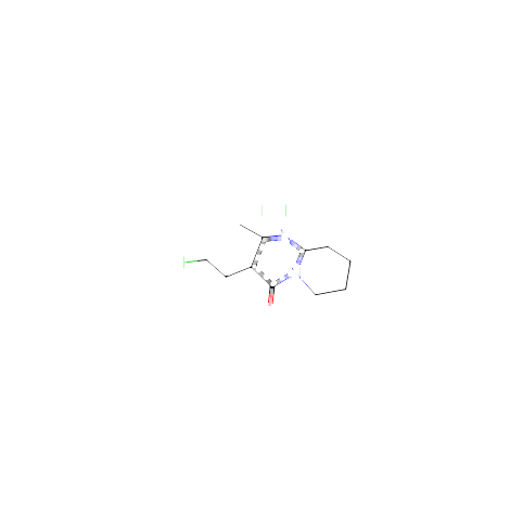 Cc1nc2n(c(=O)c1CCCl)CCCC2.Cl